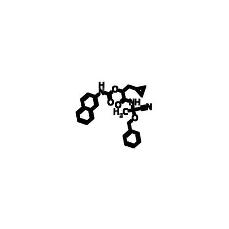 CC(C#N)(NC(=O)C(CC1CC1)OC(=O)Nc1ccc2ccccc2c1)OCc1ccccc1